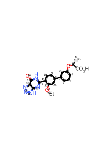 CCCC(Oc1cccc(-c2ccc(-c3nc4[nH]nnc4c(=O)[nH]3)c(OCC)c2)c1)C(=O)O